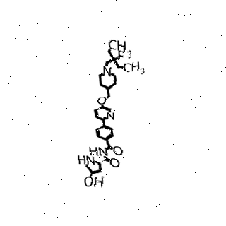 CCC(F)(CC)CN1CCC(COc2ccc(-c3ccc(C(=O)NC(=O)[C@@H]4C[C@@H](O)CN4)cc3)nc2)CC1